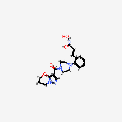 O=C(C=Cc1ccccc1N1CCN(C(=O)c2cnn3c2OCCC3)CC1)NO